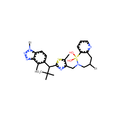 CCC1Cc2ncccc2S(O)(O)N(Cc2nc(C(c3ccc4c(nnn4CC)c3C)C(C)(C)C(=O)O)sc2C)C1